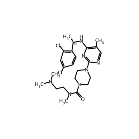 Cc1cnc(N2CCN(C(=O)N(C)CCN(C)C)CC2)nc1N[C@H](C)c1ccc(Cl)cc1Cl